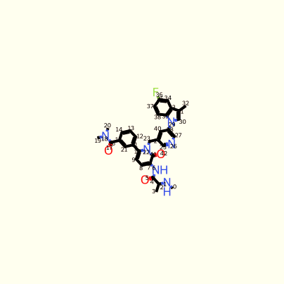 CNC(C)C(=O)Nc1ccc(-c2cccc(C(=O)N(C)C)c2)n(Cc2cncc(-n3cc(C)c4cc(F)ccc43)c2)c1=O